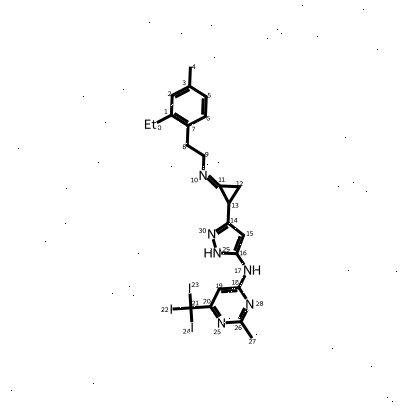 CCc1cc(C)ccc1CC/N=C1\CC1c1cc(Nc2cc(C(I)(I)I)nc(C)n2)[nH]n1